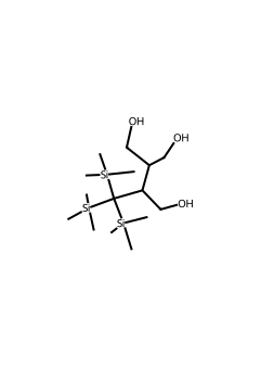 C[Si](C)(C)C(C(CO)C(CO)CO)([Si](C)(C)C)[Si](C)(C)C